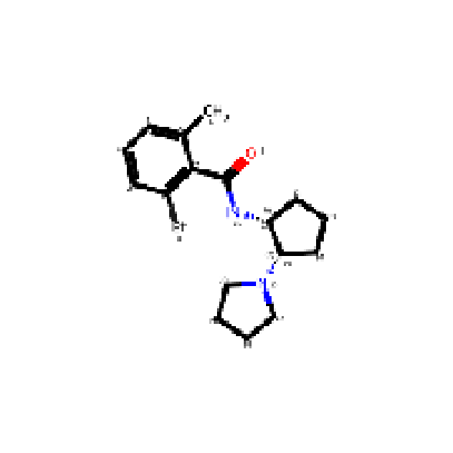 CCc1cccc(C)c1C(=O)N[C@@H]1CCC[C@@H]1N1CCCC1